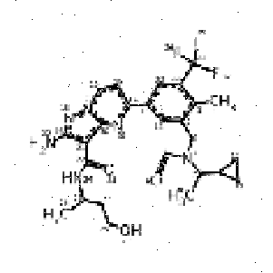 Cc1c(CN(C=O)C(C)C2CC2)cc(-c2ccn3nc(N)c(C(=O)NC(C)CCO)c3n2)cc1C(F)(F)F